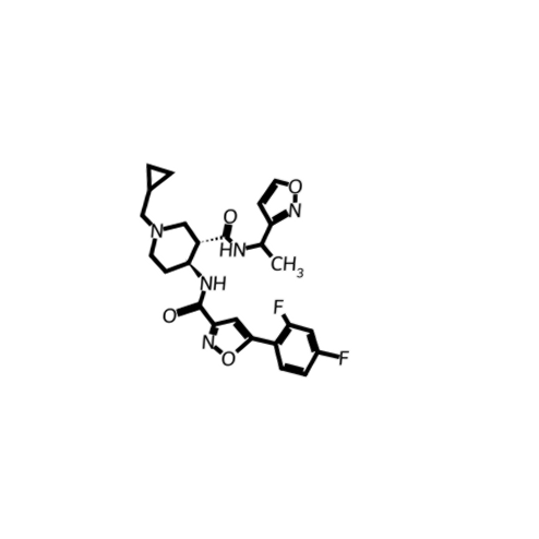 CC(NC(=O)[C@H]1CN(CC2CC2)CC[C@@H]1NC(=O)c1cc(-c2ccc(F)cc2F)on1)c1ccon1